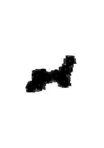 c1ccc(-c2ccc(-n3c4ccccc4c4cc(-c5ccc6c(c5)Sc5ccccc5N6c5cccc6c5oc5ccccc56)ccc43)cc2)cc1